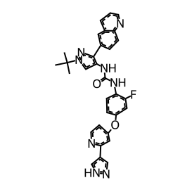 CC(C)(C)n1cc(NC(=O)Nc2ccc(Oc3ccnc(-c4cn[nH]c4)c3)cc2F)c(-c2ccc3ncccc3c2)n1